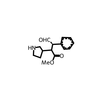 COC(=O)C(C1CCNC1)[C@@H](C=O)c1ccccc1